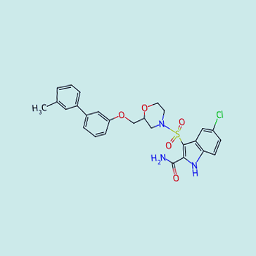 Cc1cccc(-c2cccc(OCC3CN(S(=O)(=O)c4c(C(N)=O)[nH]c5ccc(Cl)cc45)CCO3)c2)c1